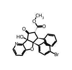 COC(=O)[C@H]1C(=O)[C@@]2(O)c3ncccc3O[C@@]2(c2ccc(Br)cc2)[C@@H]1c1ccccc1